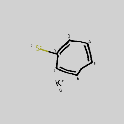 [K+].[S-]c1ccccc1